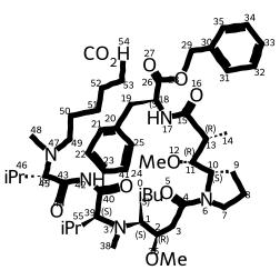 CC[C@H](C)[C@@H]([C@@H](CC(=O)N1CCC[C@H]1[C@H](OC)[C@@H](C)C(=O)N[C@@H](Cc1ccccc1)C(=O)OCc1ccccc1)OC)N(C)[C@H](C(=O)NC(=O)[C@H](C(C)C)N(C)CCCCCC(=O)O)C(C)C